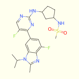 Cc1nc2c(F)cc(-c3nc(NC4CCC(NS(C)(=O)=O)C4)ncc3F)cc2n1C(C)C